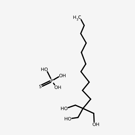 CCCCCCCCCCC(CO)(CO)CO.OP(O)(O)=S